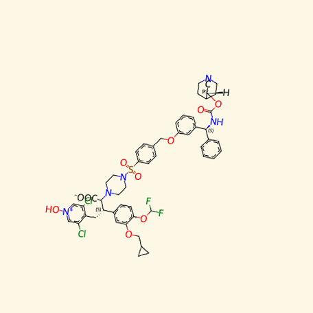 O=C(N[C@@H](c1ccccc1)c1cccc(OCc2ccc(S(=O)(=O)N3CCN(C(C(=O)[O-])[C@@H](Cc4c(Cl)c[n+](O)cc4Cl)c4ccc(OC(F)F)c(OCC5CC5)c4)CC3)cc2)c1)O[C@H]1CN2CCC1CC2